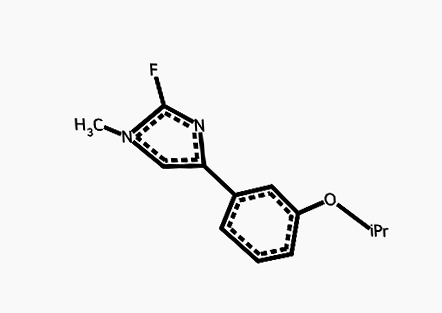 CC(C)Oc1cccc(-c2cn(C)c(F)n2)c1